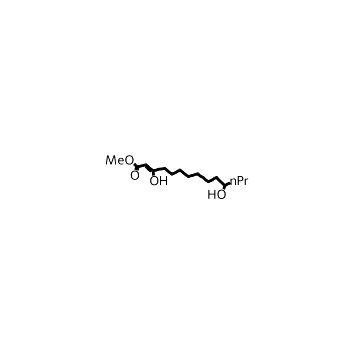 CCCC(O)CCCCCCCC(O)=CC(=O)OC